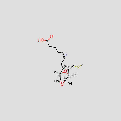 CSC[C@@H]1[C@H](C/C=C\CCCC(=O)O)[C@H]2O[C@@H]1[C@H]1O[C@H]12